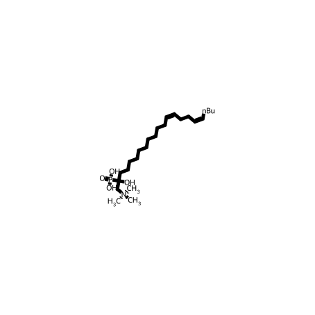 CCCC/C=C\CC/C=C\CCCCCCCCCCC(O)(C[N+](C)(C)C)P(=O)(O)O